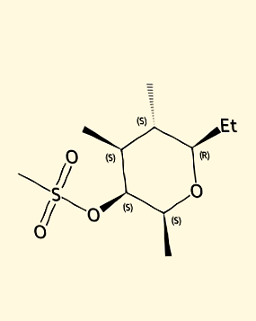 CC[C@H]1O[C@@H](C)[C@@H](OS(C)(=O)=O)[C@@H](C)[C@@H]1C